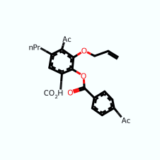 C=CCOc1c(OC(=O)c2ccc(C(C)=O)cc2)c(C(=O)O)cc(CCC)c1C(C)=O